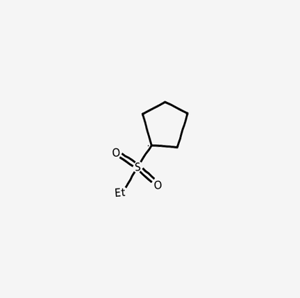 CCS(=O)(=O)[C]1CCCC1